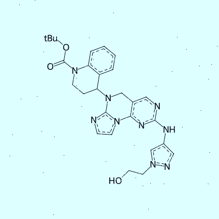 CC(C)(C)OC(=O)N1CCC(N2Cc3cnc(Nc4cnn(CCO)c4)nc3-n3ccnc32)c2ccccc21